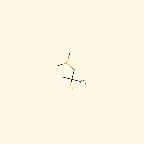 CP(C)CC(C)(S)C(F)(F)F